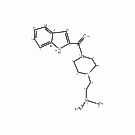 CCCN(CCC)CCN1CCN(C(=O)c2cc3ccccc3[nH]2)CC1